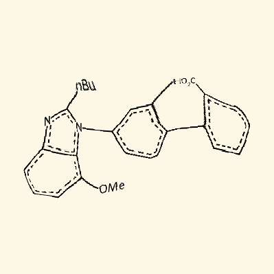 CCCCc1nc2cccc(OC)c2n1-c1ccc(-c2ccccc2C(=O)O)c(C)c1